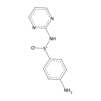 Nc1ccc([S+]([O-])Nc2ncccn2)cc1